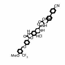 COC(=O)[C@H](Cc1ccc(-c2ccc(C#N)cc2)cc1)NC(=O)C1Cc2cc3c(cc2CN1)O[C@@H](c1ccc(OCc2ccc(OC)c(C(F)(F)F)c2)cc1)C(=O)N3.Cl